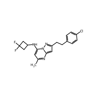 Cc1cc(NC2CC(F)(F)C2)n2nc(CCc3ccc(Cl)cc3)cc2n1